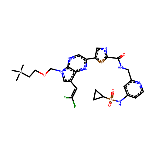 C[Si](C)(C)CCOCn1cc(C=C(F)F)c2nc(-c3cnc(C(=O)NCc4cc(NS(=O)(=O)C5CC5)ccn4)s3)cnc21